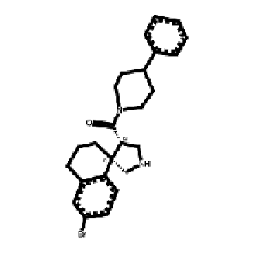 O=C([C@@H]1CNC[C@]12CCCc1cc(Br)ccc12)N1CCC(c2ccccc2)CC1